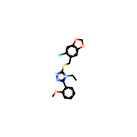 CCn1c(SCc2cc3c(cc2Cl)OCO3)nnc1-c1ccccc1OC